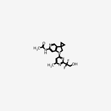 CC(=O)Nc1cc2c(cn1)C1(CC1)CN2c1cc(C)nc(C(F)(F)CO)n1